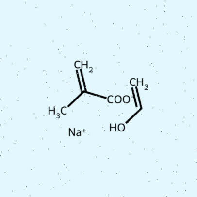 C=C(C)C(=O)[O-].C=CO.[Na+]